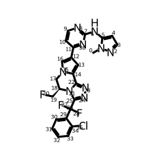 Cn1nccc1Nc1nccc(-c2cc3n(c2)C[C@H](CF)n2c-3nnc2C(F)(F)c2ccccc2Cl)n1